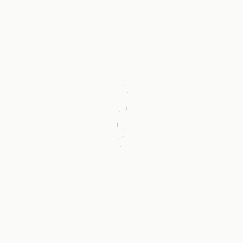 C=C(C)C(=O)OC1C=CC(C2C=CC(/C=C/C(=O)OC(C)(C)C)=CC2)=CC1